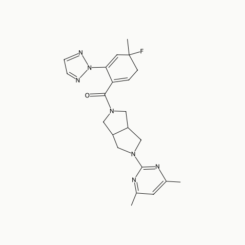 Cc1cc(C)nc(N2CC3CN(C(=O)C4=CCC(C)(F)C=C4n4nccn4)CC3C2)n1